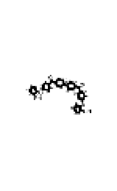 O=C(c1ccc(Oc2ccccc2O)cc1)c1ccc(-c2ccc(C(=O)c3ccc(Oc4ccccc4O)cc3)cc2)cc1